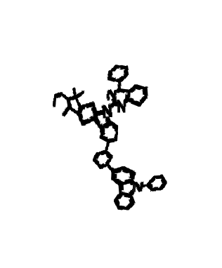 C/C=C\C1=C(C)c2cc3c4cc(-c5cccc(-c6ccc7c(c6)c6ccccc6n7-c6ccccc6)c5)ccc4n(-c4nc(-c5ccccc5)c5ccccc5n4)c3cc2C1(C)C